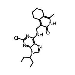 CCC(CC)n1cnc2c(NCc3c4c(c(C)[nH]c3=O)CCCC4)nc(Cl)nc21